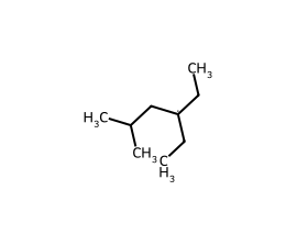 CC[C](CC)CC(C)C